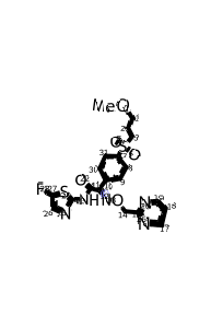 COCCCS(=O)(=O)c1ccc(/C(=N\OCc2ncccn2)C(=O)Nc2ncc(F)s2)cc1